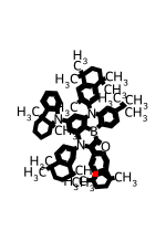 Cc1cc2c(cc1N1c3cc(C(C)(C)C)ccc3B3c4oc5cc6c(cc5c4N(c4ccc5c(c4)C(C)(C)CCC5(C)C)c4cc(N5c7ccccc7C7(C)CCCCC57C)cc1c43)C1(C)CCC6(C)CC1)C(C)(C)CCC2(C)C